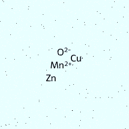 [Cu].[Mn+2].[O-2].[Zn]